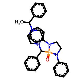 CC(c1ccccc1)N1CCN(C(c2ccccc2)P2(=O)N(c3ccccc3)CCN2c2ccccc2)CC1